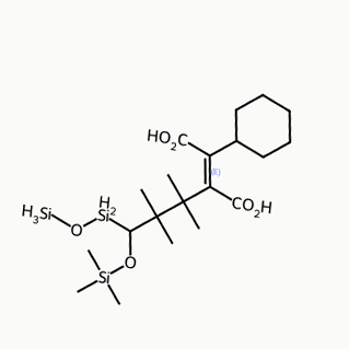 CC(C)(/C(C(=O)O)=C(\C(=O)O)C1CCCCC1)C(C)(C)C(O[Si](C)(C)C)[SiH2]O[SiH3]